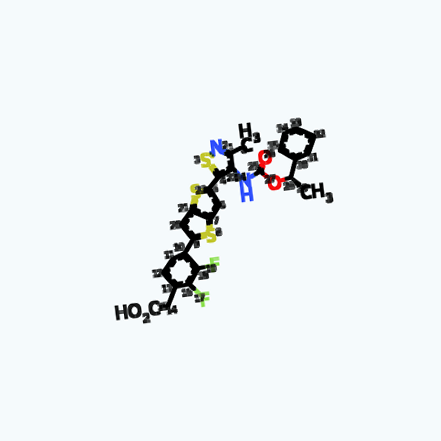 Cc1nsc(-c2cc3sc(-c4ccc(CC(=O)O)c(F)c4F)cc3s2)c1NC(=O)O[C@H](C)c1ccccc1